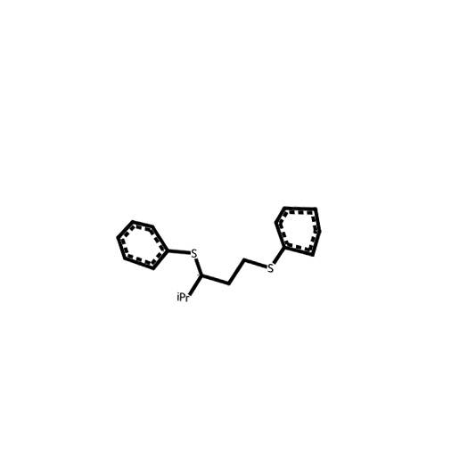 CC(C)[C](CCSc1ccccc1)Sc1ccccc1